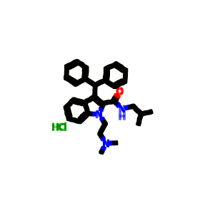 CC(C)CNC(=O)c1c(C(c2ccccc2)c2ccccc2)c2ccccc2n1CCN(C)C.Cl